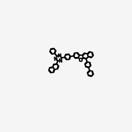 c1ccc(-c2ccc(-c3c4ccccc4cc4c3oc3cc(-c5ccc(-c6nc(-c7ccccc7)nc(-c7ccc8ccccc8c7)n6)cc5)ccc34)cc2)cc1